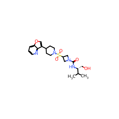 CC(C)[C@@H](CO)NC(=O)N1CC(S(=O)(=O)N2CCC(c3coc4cccnc34)CC2)C1